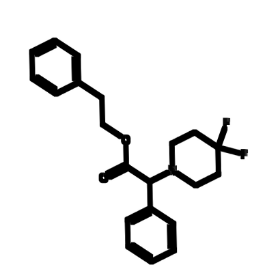 O=C(OCCc1ccccc1)C(c1ccccc1)N1CCC(F)(F)CC1